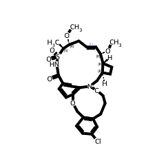 CO[C@H]1/C=C/C[C@@H](OC)[C@H](C)S(=O)(=O)NC(=O)c2ccc3c(c2)N(CCCCc2cc(Cl)ccc2CO3)C[C@@H]2CC[C@H]21